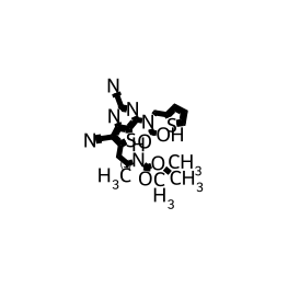 C[C@@H](Cc1sc2c(N(Cc3cccs3)C(=O)O)nc(C#N)nc2c1C#N)NC(=O)OC(C)(C)C